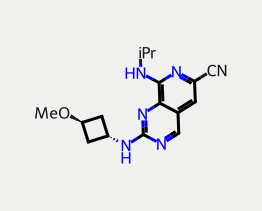 CO[C@H]1C[C@H](Nc2ncc3cc(C#N)nc(NC(C)C)c3n2)C1